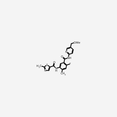 COCc1ccc(NC(=O)c2cc(NC(=O)c3cnc(C)s3)c(C)cc2F)nc1